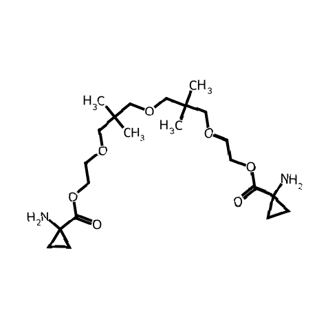 CC(C)(COCCOC(=O)C1(N)CC1)COCC(C)(C)COCCOC(=O)C1(N)CC1